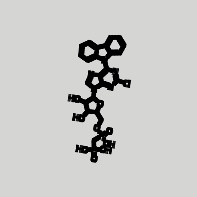 O=P(O)(O)CP(=O)(O)OCC1OC(n2cnc3c(-n4c5ccccc5c5ccccc54)nc(Cl)nc32)C(O)C1O